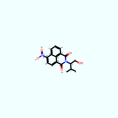 CC(C)C(CO)N1C(=O)c2cccc3c([N+](=O)[O-])ccc(c23)C1=O